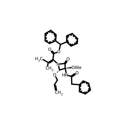 C=CCO[C@@H]1N(C(C(=O)OC(c2ccccc2)c2ccccc2)=C(C)C)C(=O)[C@@]1(NC(=O)Cc1ccccc1)OC